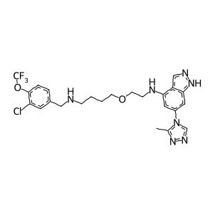 Cc1nncn1-c1cc(NCCOCCCCNCc2ccc(OC(F)(F)F)c(Cl)c2)c2cn[nH]c2c1